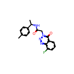 Cc1ccc(C(C)NC(=O)Cn2nnc3c(F)cccc3c2=O)cc1